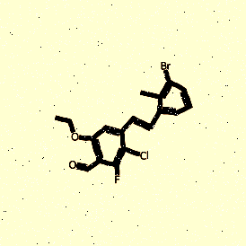 CCOc1cc(C=Cc2cccc(Br)c2C)c(Cl)c(F)c1C=O